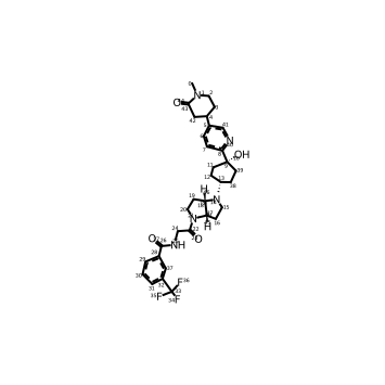 CN1CCC(c2ccc([C@]3(O)CC[C@@H](N4CC[C@H]5[C@@H]4CCN5C(=O)CNC(=O)c4cccc(C(F)(F)F)c4)CC3)nc2)CC1=O